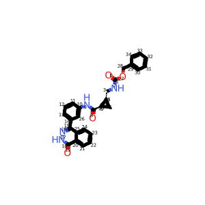 O=C(NC[C@@H]1C[C@H]1C(=O)Nc1cccc(-c2n[nH]c(=O)c3ccccc23)c1)OCc1ccccc1